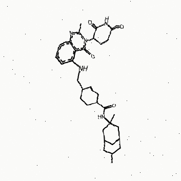 Cc1nc2cccc(NCC3CCC(C(=O)NC4(C)CC5CC(C)CC(C5)C4)CC3)c2c(=O)n1C1CCC(=O)NC1=O